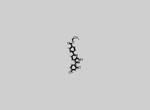 CCOC(=O)c1ccc(-c2ccc3c(-c4ccc(Cl)cc4Cl)n[nH]c3n2)cc1